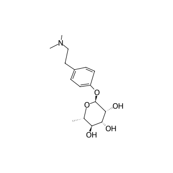 C[C@@H]1O[C@@H](Oc2ccc(CCN(C)C)cc2)[C@H](O)[C@H](O)[C@H]1O